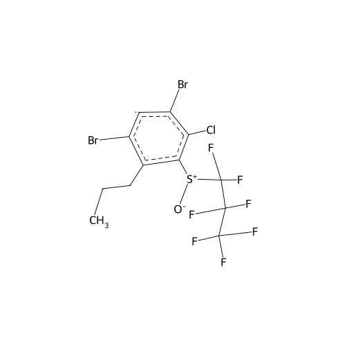 CCCc1c(Br)[c]c(Br)c(Cl)c1[S+]([O-])C(F)(F)C(F)(F)C(F)(F)F